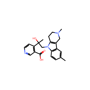 Cc1ccc2c(c1)c1c(n2CC(C)(O)c2ccncc2C(=O)O)CCN(C)C1